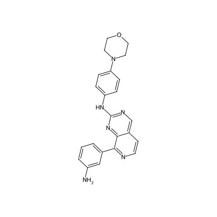 Nc1cccc(-c2nccc3cnc(Nc4ccc(N5CCOCC5)cc4)nc23)c1